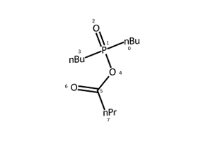 CCCCP(=O)(CCCC)OC(=O)CCC